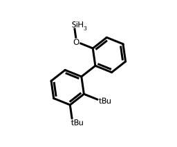 CC(C)(C)c1cccc(-c2ccccc2O[SiH3])c1C(C)(C)C